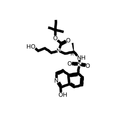 C[C@H](CN(CCCO)C(=O)OC(C)(C)C)NS(=O)(=O)c1cccc2c(O)nccc12